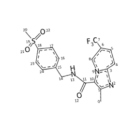 Cc1nc2ccc(C(F)(F)F)cn2c1C(=O)NCc1ccc(S(C)(=O)=O)cc1